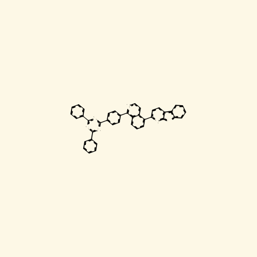 c1ccc(-c2nc(-c3ccccc3)nc(-c3ccc(-c4nccc5c(-c6ccc7c(n6)oc6ccccc67)cccc45)cc3)n2)cc1